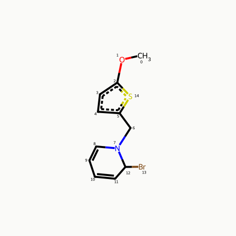 COc1ccc(CN2C=CC=CC2Br)s1